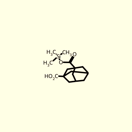 C[Si](C)(C)OC(=O)C12CC3CC(CC(C(=O)O)(C3)C1)C2